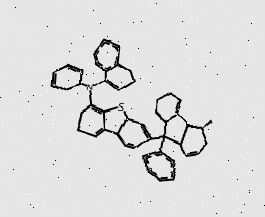 C[C@H]1CC=CC2C1C1=CCCCC1C2(C1=CC2SC3=C(N(C4=CCCc5ccccc54)C4C=CC=CC4)CCC=C3C2C=C1)c1ccccc1